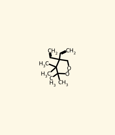 C=CC1(C=C)COOC(C)(C)C1(C)C